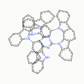 c1ccc(-c2nc(-n3c4ccccc4c4ccc5c6ccccc6n(-c6ccc7[nH]c8ccccc8c7c6)c5c43)nc(-n3c4ccccc4c4ccc5c6ccccc6n(-c6ccc7[nH]c8ccccc8c7c6)c5c43)n2)cc1